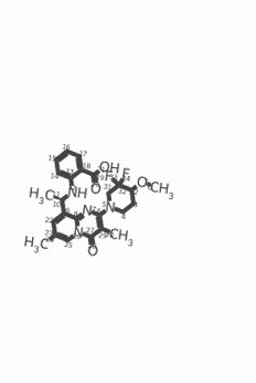 COC1CCN(c2nc3c([C@@H](C)Nc4ccccc4C(=O)O)cc(C)cn3c(=O)c2C)CC1(F)F